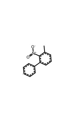 Cc1cccc(-c2cc[c]cc2)c1[N+](=O)[O-]